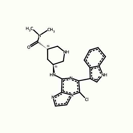 CN(C)C(=O)[C@@H]1CNC[C@@H](Nc2nc(-c3c[nH]c4ccccc34)c(Cl)n3ccnc23)C1